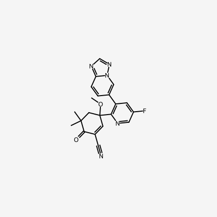 COC1(c2ncc(F)cc2-c2ccc3ncnn3c2)C=C(C#N)C(=O)C(C)(C)C1